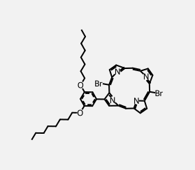 CCCCCCCCOc1cc(OCCCCCCCC)cc(C2=CC3=CC4=NC(=C(Br)C5=NC(=CC6=NC(=C(Br)C2=N3)C=C6)C=C5)C=C4)c1